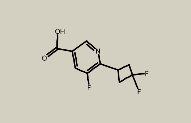 O=C(O)c1cnc(C2CC(F)(F)C2)c(F)c1